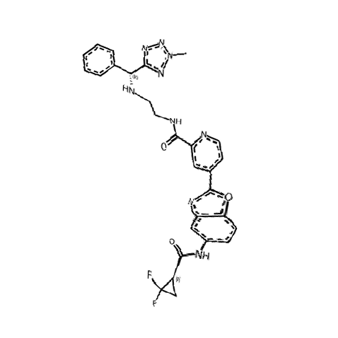 Cn1nnc([C@H](NCCNC(=O)c2cc(-c3nc4cc(NC(=O)[C@H]5CC5(F)F)ccc4o3)ccn2)c2ccccc2)n1